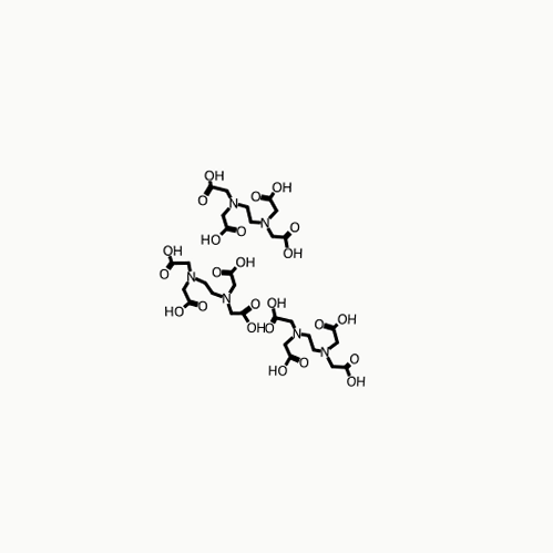 O=C(O)CN(CCN(CC(=O)O)CC(=O)O)CC(=O)O.O=C(O)CN(CCN(CC(=O)O)CC(=O)O)CC(=O)O.O=C(O)CN(CCN(CC(=O)O)CC(=O)O)CC(=O)O